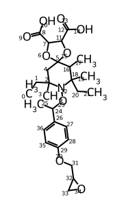 CCC1(C)CC2(OC(C(=O)O)C(C(=O)O)O2)C(C)C(C)(CC)N1OC(C)c1ccc(OCC2CO2)cc1